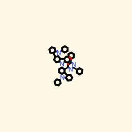 c1ccc(-c2cc(-c3c(-n4c5ccccc5c5c4ccc4c6ccccc6n(-c6ccccc6)c45)ccc4c3c3ccccc3n4-c3ccccc3)nc(-c3ccccc3)n2)cc1